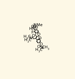 CNS(=O)(=O)Nc1cccc(Cc2c(CC(=O)N(C)C)c3ccc(OC(=O)N(C)C)cc3oc2=O)c1F